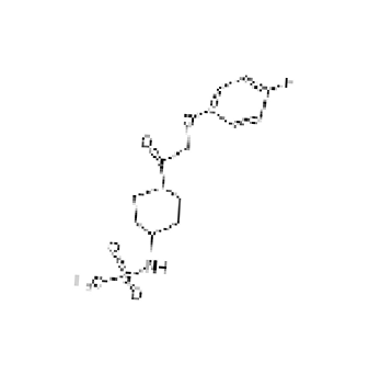 CS(=O)(=O)NC1CCC(C(=O)COc2ccc(F)cc2)CC1